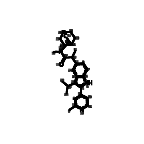 Cc1cc(-c2[nH]c3ccc(C(C)C(=O)N(C)C4CN5CCC4CC5)cc3c2C(C)C)ccn1